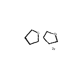 C1CCOC1.C1CCOC1.[Zr]